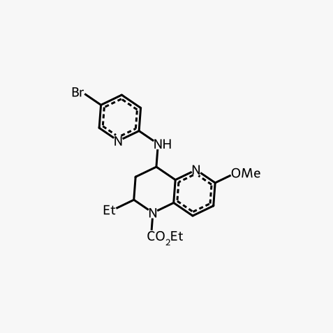 CCOC(=O)N1c2ccc(OC)nc2C(Nc2ccc(Br)cn2)CC1CC